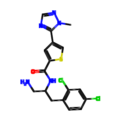 Cn1ncnc1-c1csc(C(=O)NC(CN)Cc2ccc(Cl)cc2Cl)c1